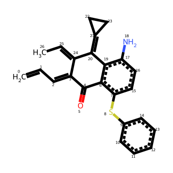 C=C/C=C1/C(=O)c2c(Sc3ccccc3)ccc(N)c2C(=C2CC2)/C1=C/C